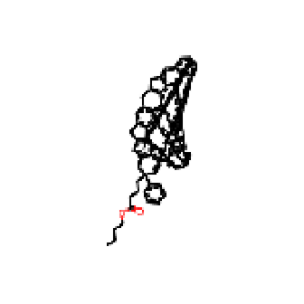 CCCCOC(=O)CCCC1(c2ccccc2)c2c3c4cc5cc6c7c8c9c%10c(cc%11c%12c%13c(cc(c%14c2c2c(c%13%14)c(c%12%10)c9c9c7c5c3c29)C1CC=4)C%11)CC=8C6